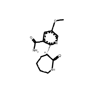 COc1cnc([C@H]2CCCCNC2=O)c(C(N)=O)c1